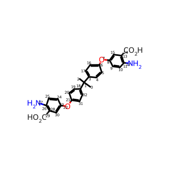 CC(C)(c1ccc(Oc2ccc(N)c(C(=O)O)c2)cc1)c1ccc(Oc2ccc(N)c(C(=O)O)c2)cc1